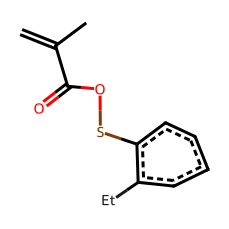 C=C(C)C(=O)OSc1ccccc1CC